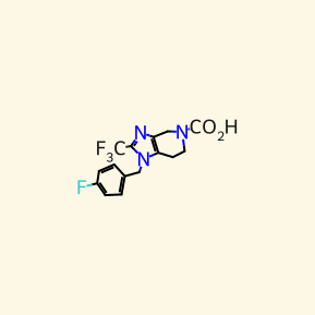 O=C(O)N1CCc2c(nc(C(F)(F)F)n2Cc2ccc(F)cc2)C1